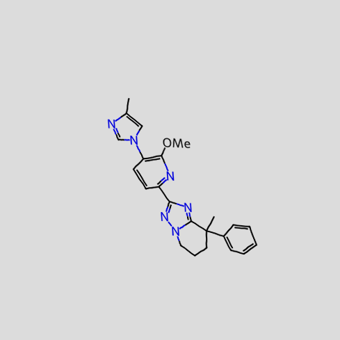 COc1nc(-c2nc3n(n2)CCCC3(C)c2ccccc2)ccc1-n1cnc(C)c1